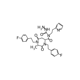 CC1C(=O)N(CCc2ccc(F)cc2)C(C(=O)N(CCc2ccccn2)C(=O)NN)CC(=O)N1CCc1ccc(F)cc1